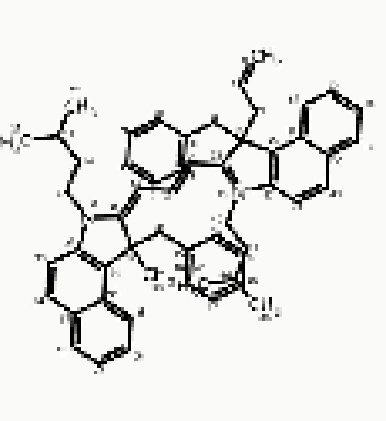 C=CCC1(Cc2ccccc2)C(/C=C/C=C2/N(CCC(C)C)c3ccc4ccccc4c3C2(C)Cc2ccccc2)=[N+](CCC(C)C)c2ccc3ccccc3c21